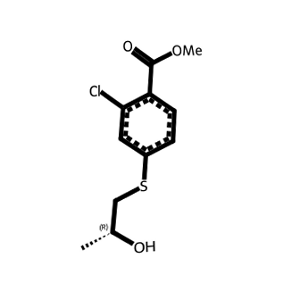 COC(=O)c1ccc(SC[C@@H](C)O)cc1Cl